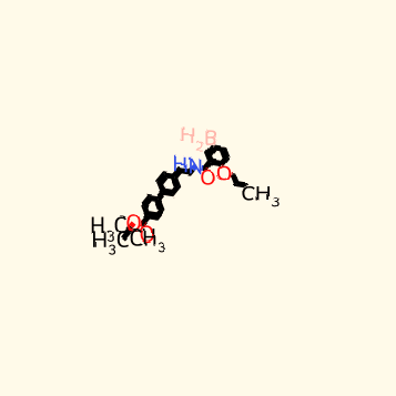 Bc1ccc(OCCCC)c(C(=O)NCCc2ccc(-c3ccc(C(=O)OC(C)(C)C)cc3)cc2)c1